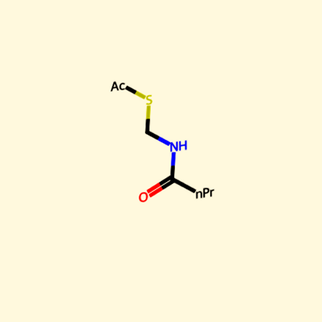 CCCC(=O)NCSC(C)=O